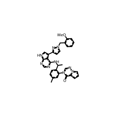 COc1ccccc1Cn1ccc(-c2c[nH]c3ncnc(NC(C)c4ccc(C)cc4-n4cnn5cccc5c4=O)c23)n1